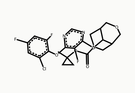 CC1(OC(=O)N2CC3COCC(C2)C3Oc2ncnc(Oc3c(F)cc(F)cc3Cl)c2F)CC1